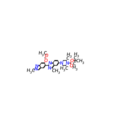 COCOc1cc2nn(C)cc2cc1-c1nc(C)c2cc(N3C[C@@H](C)N(C(=O)OC(C)(C)C)[C@@H](C)C3)ccc2n1